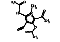 CC(=O)Nc1c(C#N)c(OC(C)=O)c(C(C)=O)n1C